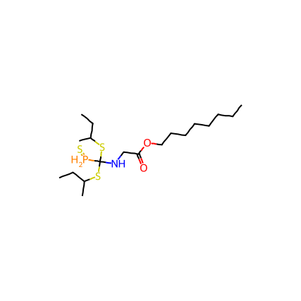 CCCCCCCCOC(=O)CNC([PH2]=S)(SC(C)CC)SC(C)CC